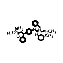 CN(C)CCN(Cc1ccccc1)/C(=N\C1CCCCC1)Nc1ccc(C(CC(=O)N(C)N)c2ccccc2)cc1